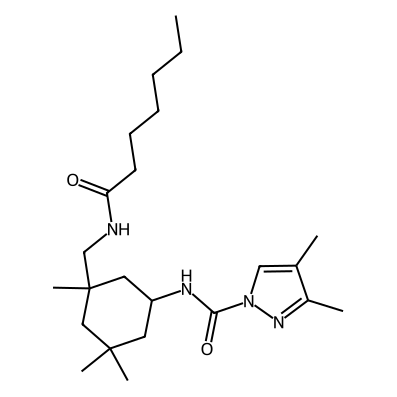 CCCCCCC(=O)NCC1(C)CC(NC(=O)n2cc(C)c(C)n2)CC(C)(C)C1